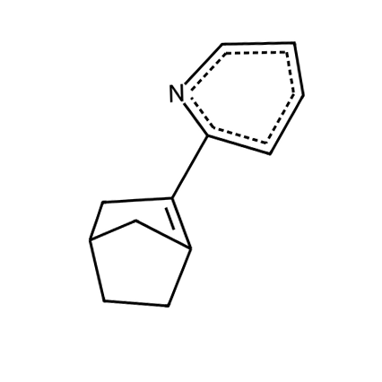 c1ccc(C2=C3CCC(C3)C2)nc1